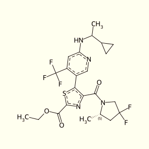 CCOC(=O)c1nc(C(=O)N2CC(F)(F)C[C@@H]2C)c(-c2cnc(NC(C)C3CC3)cc2C(F)(F)F)s1